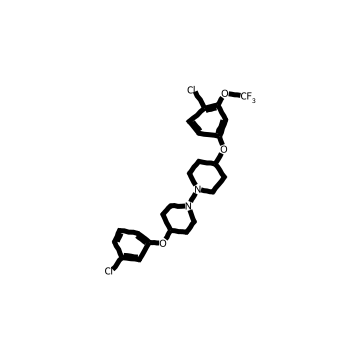 FC(F)(F)Oc1cc(OC2CCN(N3CCC(Oc4cccc(Cl)c4)CC3)CC2)ccc1Cl